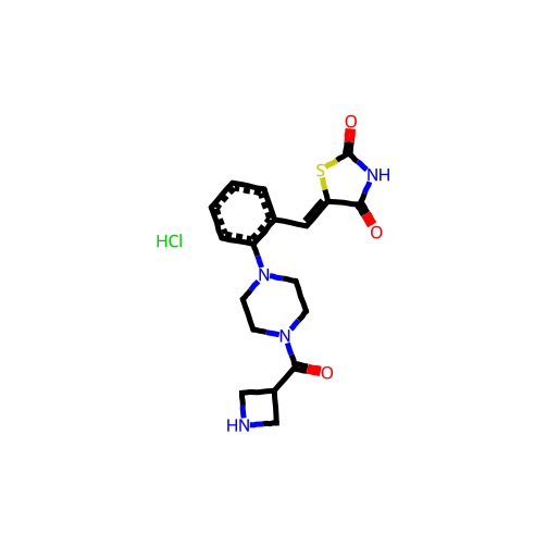 Cl.O=C1NC(=O)C(=Cc2ccccc2N2CCN(C(=O)C3CNC3)CC2)S1